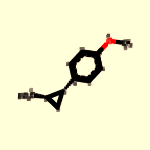 O=C(O)[C@@H]1C[C@H]1c1ccc(OC(F)(F)F)cc1